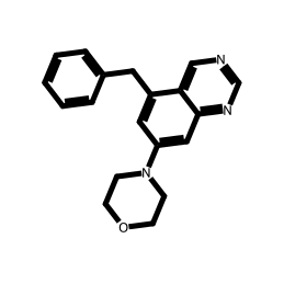 c1ccc(Cc2cc(N3CCOCC3)cc3ncncc23)cc1